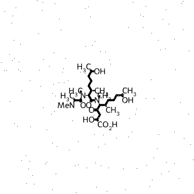 CN[C@@H](C)C(=O)N(C)[C@@H](C(=O)N(C)[C@@H](C(=O)CC(O)C(=O)O)[C@H](C)CCCC(C)O)[C@H](C)CCCC(C)O